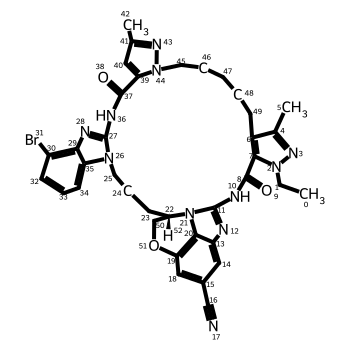 CCn1nc(C)c2c1C(=O)Nc1nc3cc(C#N)cc4c3n1[C@@H](CCCn1c(nc3c(Br)cccc31)NC(=O)c1cc(C)nn1CCCCC2)CO4